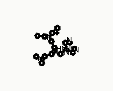 CC1(C)c2ccccc2-c2ccc(N(c3ccc(-c4ccccc4)cc3)c3ccc(-c4ccc5c(c4)c4cc(-c6ccc7c(c6)c6ccccc6n7-c6ccccc6)ccc4n5-c4cccc(C5N=C(c6cccc7ncccc67)NC(c6cccc7ncccc67)N5)c4)cc3)cc21